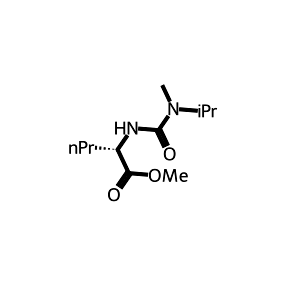 CCC[C@H](NC(=O)N(C)C(C)C)C(=O)OC